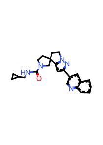 O=C(NCC1CC1)N1CCC2(CCn3nc(-c4cnc5ccccc5c4)cc32)C1